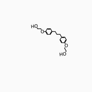 OCCOc1ccc(CCCc2ccc(OCCO)cc2)cc1